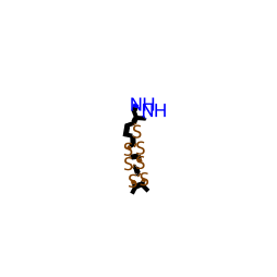 CC1=C(C)SC(=C2SC3=C(S2)SC(=c2ccc(=C(C=N)C=N)s2)S3)S1